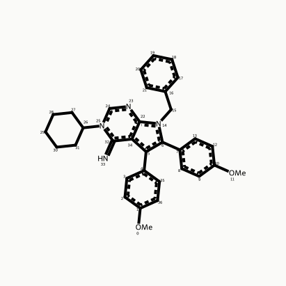 COc1ccc(-c2c(-c3ccc(OC)cc3)n(Cc3ccccc3)c3ncn(C4CCCCC4)c(=N)c23)cc1